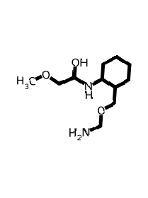 COCC(O)NC1CCCCC1COCN